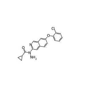 NN(C(=O)C1CC1)c1cc2ccc(Oc3ccccc3Cl)cc2cn1